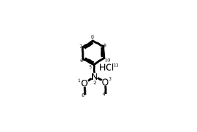 CON(OC)c1ccccc1.Cl